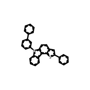 c1ccc(-c2cccc(-n3c4ccccc4c4c5sc(-c6ccccc6)cc5ccc43)c2)cc1